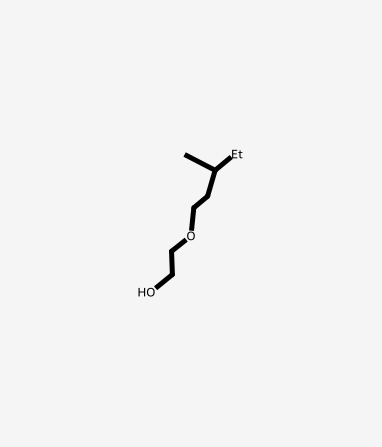 CCC(C)CCOCCO